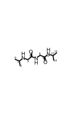 CC(C)NCC(=O)NCC(=O)NC(C)C